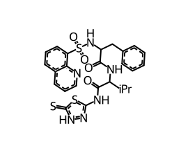 CC(C)C(NC(=O)C(Cc1ccccc1)NS(=O)(=O)c1cccc2cccnc12)C(=O)Nc1n[nH]c(=S)s1